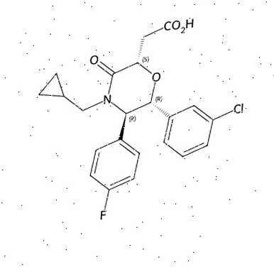 O=C(O)C[C@@H]1O[C@H](c2cccc(Cl)c2)[C@@H](c2ccc(F)cc2)N(CC2CC2)C1=O